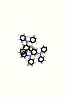 c1ccc(N(c2ccccc2)c2cc(N(c3ccccc3)c3ccccc3)c3c(c2)sc2c(N(c4ccccc4)c4ccccc4)cc4ccccc4c23)cc1